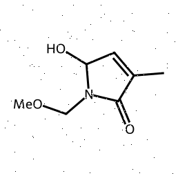 COCN1C(=O)C(C)=CC1O